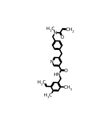 C=CC(=O)N(C)Cc1ccc(Cc2cncc(C(=O)NCc3cc(C=C)c(C)cc3C)c2)cc1